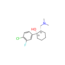 CN(C)C[C@@H]1CCCC[C@@]1(O)c1ccc(Cl)c(F)c1